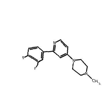 CN1CCN(c2ccnc(-c3ccc(F)c(F)c3)c2)CC1